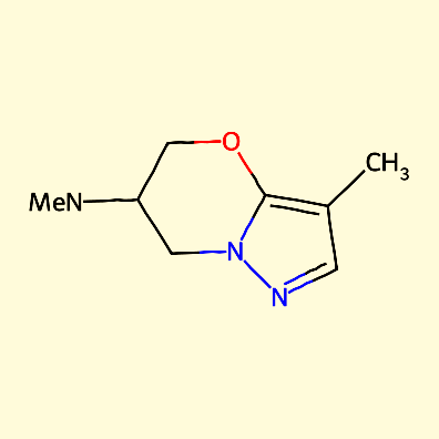 CNC1COc2c(C)cnn2C1